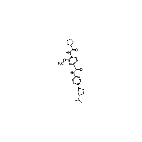 CN(C)C1CCN(c2ccc(NC(=O)c3ccc(NC(=O)C4CCCC4)c(OC(F)(F)F)c3)cc2)C1